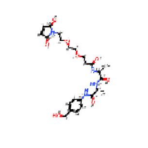 CC(C)[C@H](NC(=O)CCOCCOCCN1C(=O)C=CC1=O)C(=O)N[C@@H](C)C(=O)Nc1ccc(CO)cc1